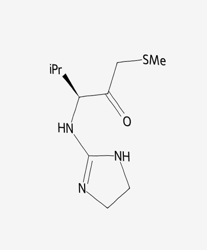 CSCC(=O)[C@@H](NC1=NCCN1)C(C)C